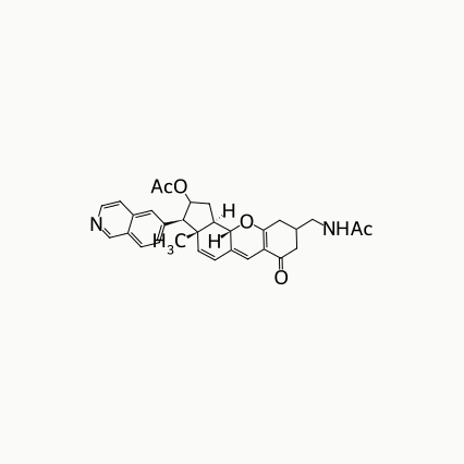 CC(=O)NCC1CC(=O)C2=C(C1)O[C@@H]1C(=C2)C=C[C@]2(C)[C@@H](c3ccc4cnccc4c3)C(OC(C)=O)C[C@@H]12